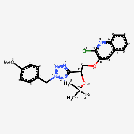 COc1ccc(Cn2nnc(C(COc3cc4ccccc4nc3Cl)O[Si](C)(C)C(C)(C)C)n2)cc1